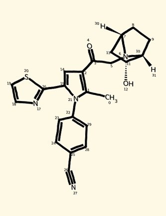 Cc1c(C(=O)CN2[C@H]3CC[C@@H]2[C@H](O)C3)cc(-c2nccs2)n1-c1ccc(C#N)cc1